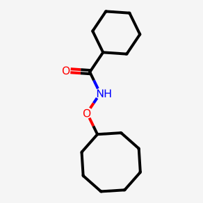 O=C(NOC1CCCCCCC1)C1CCCCC1